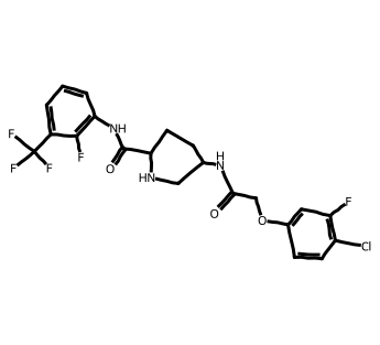 O=C(COc1ccc(Cl)c(F)c1)NC1CCC(C(=O)Nc2cccc(C(F)(F)F)c2F)NC1